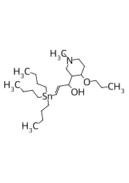 CCC[CH2][Sn]([CH]=CC(O)C1CN(C)CCC1OCCC)([CH2]CCC)[CH2]CCC